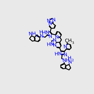 Cc1cccc(-c2nc(CNc3cccc4c3C(N)CC4)[nH]c2C2=CN3NCN=C3C(Cc3cccc(-c4nc(CNc5ccc6c(c5)C(N)CC6)[nH]c4-c4ccc5ncnn5c4)n3)=C2)n1